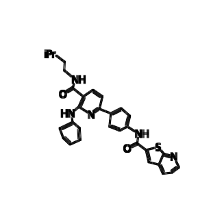 CC(C)CCNC(=O)c1ccc(-c2ccc(NC(=O)c3cc4cccnc4s3)cc2)nc1Nc1ccccc1